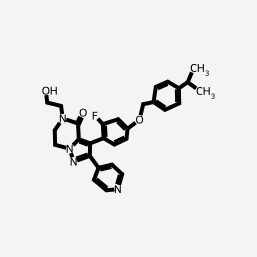 CC(C)c1ccc(COc2ccc(-c3c(-c4ccncc4)nn4c3C(=O)N(CCO)CC4)c(F)c2)cc1